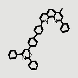 Cc1cc(-c2ccccc2)nc2c1ccc1ccc(-c3ccc(-c4ccc(-c5cc(-c6ccccc6)nc(-c6ccccc6)n5)cc4)cc3)nc12